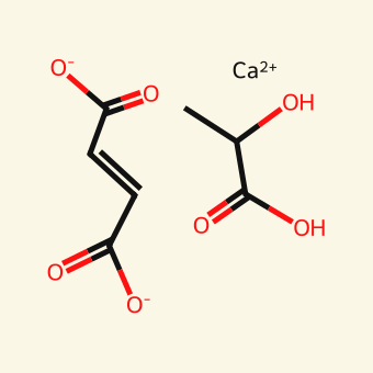 CC(O)C(=O)O.O=C([O-])C=CC(=O)[O-].[Ca+2]